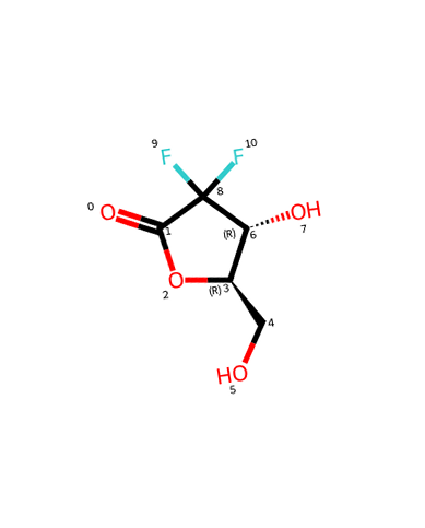 O=C1O[C@H](CO)[C@@H](O)C1(F)F